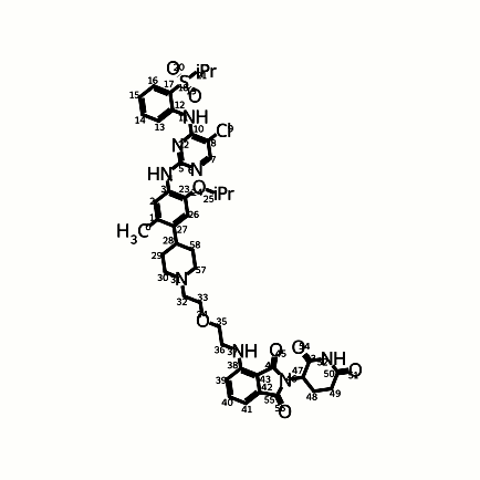 Cc1cc(Nc2ncc(Cl)c(Nc3ccccc3S(=O)(=O)C(C)C)n2)c(OC(C)C)cc1C1CCN(CCOCCNc2cccc3c2C(=O)N(C2CCC(=O)NC2=O)C3=O)CC1